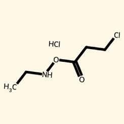 CCNOC(=O)CCCl.Cl